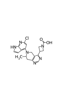 CC1Cc2ncnc(C3CN(C(=O)O)C3)c2CN1c1cc(Cl)nc2[nH]ccc12